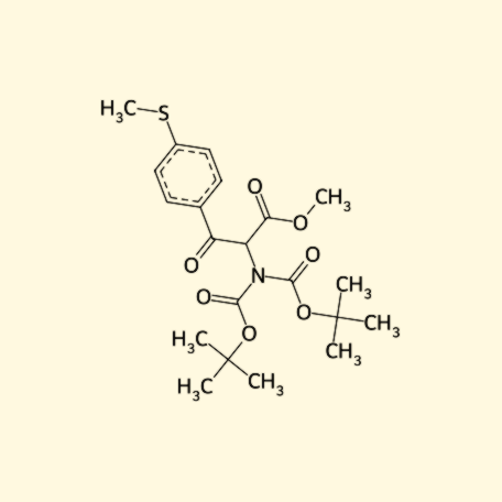 COC(=O)C(C(=O)c1ccc(SC)cc1)N(C(=O)OC(C)(C)C)C(=O)OC(C)(C)C